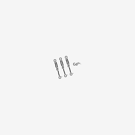 O=B[O-].O=B[O-].O=B[O-].[Gd+3]